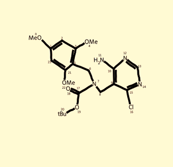 COc1cc(OC)c(CN(Cc2c(N)ncnc2Cl)C(=O)OC(C)(C)C)c(OC)c1